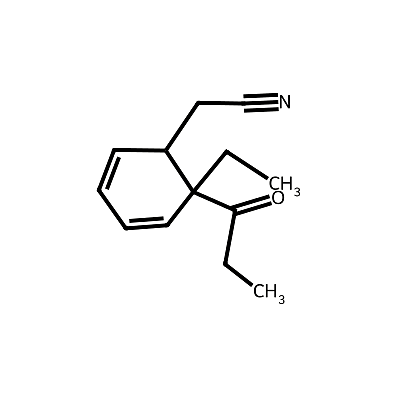 CCC(=O)C1(CC)C=CC=CC1CC#N